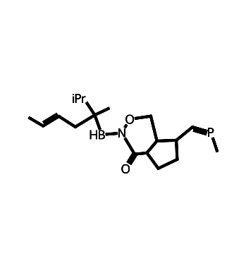 CC=CCC(C)(BN1OCC2C(/C=P\C)CCC2C1=O)C(C)C